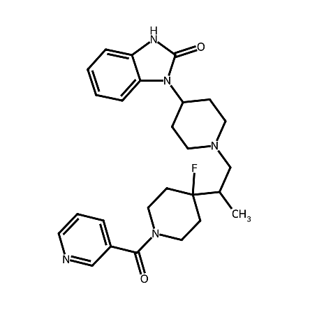 CC(CN1CCC(n2c(=O)[nH]c3ccccc32)CC1)C1(F)CCN(C(=O)c2cccnc2)CC1